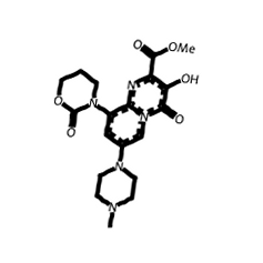 COC(=O)c1nc2c(N3CCCOC3=O)cc(N3CCN(C)CC3)cn2c(=O)c1O